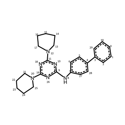 c1ccc(-c2ccc(Nc3nc(N4CCCCC4)nc(N4CCCCC4)n3)cc2)cc1